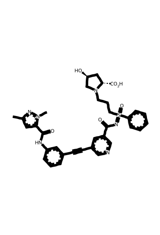 Cc1cc(C(=O)Nc2cccc(C#Cc3cncc(C(=O)N=S(=O)(CCCN4C[C@@H](O)C[C@@H]4C(=O)O)c4ccccc4)c3)c2)n(C)n1